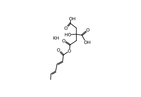 C/C=C/C=C/C(=O)OC(=O)CC(O)(CC(=O)O)C(=O)O.[KH]